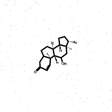 CC(=O)[C@H]1CC[C@H]2[C@@H]3CCC4CC(=O)C=C[C@]4(C)[C@H]3C(O)C[C@]12C